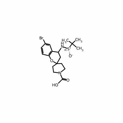 CC(C)(C)[S@+]([O-])NC1CC2(CCN(C(=O)O)CC2)Oc2ccc(Br)cc21